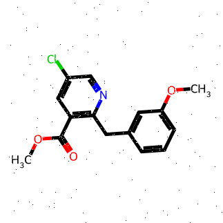 COC(=O)c1cc(Cl)cnc1Cc1cccc(OC)c1